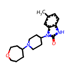 Cc1ccc2[nH]c(=O)n(C3CCN(C4CCCOCC4)CC3)c2c1